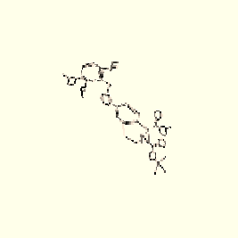 COC(=O)[C@H]1c2ccc(OCc3c(F)ccc(OC)c3F)cc2CCN1C(=O)OC(C)(C)C